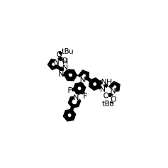 CC(C)(C)OC(=O)N1CCCC1c1nc2ccc([C@H]3CCC(c4ccc5nc([C@@H]6CCCN6C(=O)OC(C)(C)C)[nH]c5c4)N3c3cc(F)c(N4CCC(c5ccccc5)CC4)c(F)c3)cc2[nH]1